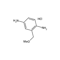 COCc1cc(N)ccc1N.Cl